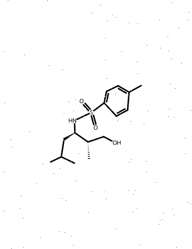 Cc1ccc(S(=O)(=O)N[C@H](CC(C)C)[C@@H](C)CO)cc1